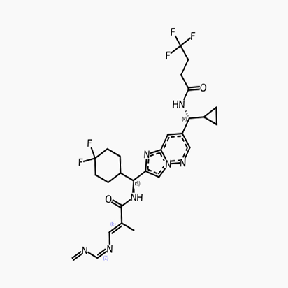 C=N/C=N\C=C(/C)C(=O)N[C@H](c1cn2ncc([C@H](NC(=O)CCC(F)(F)F)C3CC3)cc2n1)C1CCC(F)(F)CC1